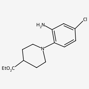 CCOC(=O)C1CCN(c2ccc(Cl)cc2N)CC1